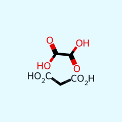 O=C(O)C(=O)O.O=C(O)CC(=O)O